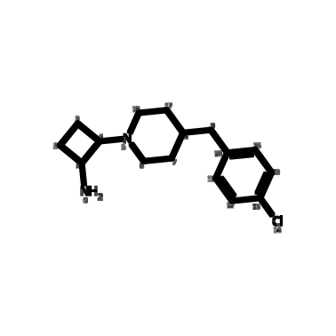 NC1CCC1N1CCC(Cc2ccc(Cl)cc2)CC1